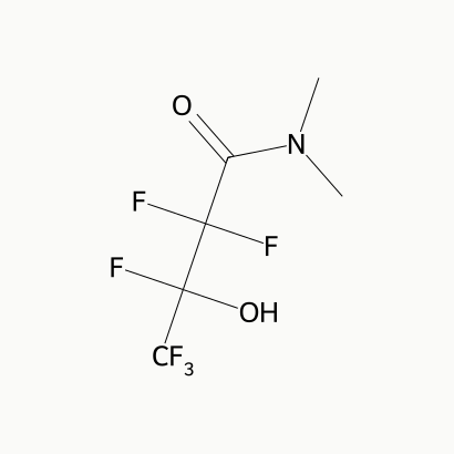 CN(C)C(=O)C(F)(F)C(O)(F)C(F)(F)F